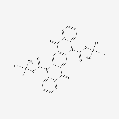 CCC(C)(C)OC(=O)n1c2ccccc2c(=O)c2cc3c(cc21)c(=O)c1ccccc1n3C(=O)OC(C)(C)CC